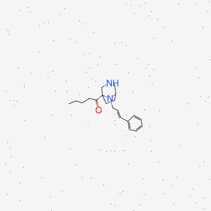 CCCCC(=O)C12CCC(CNC1)N2CC=Cc1ccccc1